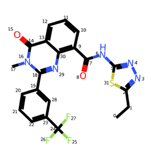 CCc1nnc(NC(=O)c2cccc3c(=O)n(C)c(-c4cccc(C(F)(F)F)c4)nc23)s1